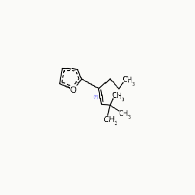 CCC/C(=C\C(C)(C)C)c1ccco1